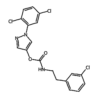 O=C(NCCc1cccc(Cl)c1)Oc1cnn(-c2cc(Cl)ccc2Cl)c1